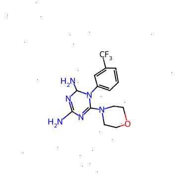 NC1=NC(N)N(c2cccc(C(F)(F)F)c2)C(N2CCOCC2)=N1